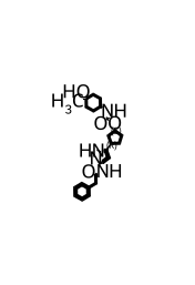 C[C@]1(O)CC[C@@H](NC(=O)O[C@H]2CC[C@@H](c3cc(NC(=O)Cc4ccccc4)n[nH]3)C2)CC1